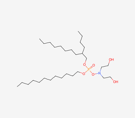 CCCCCCCCCCCCOP(=O)(OCC(CCCC)CCCCCCCC)ON(CCO)CCO